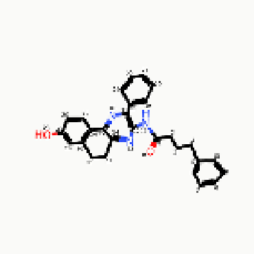 O=C(CCCc1ccccc1)Nc1nc2c(nc1-c1ccccc1)-c1ccc(O)cc1CC2